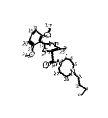 CCCCN1CCCN(C(=O)c2sc(-c3c(OC)cccc3OC)nc2C)CC1